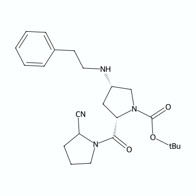 CC(C)(C)OC(=O)N1C[C@@H](NCCc2ccccc2)C[C@H]1C(=O)N1CCCC1C#N